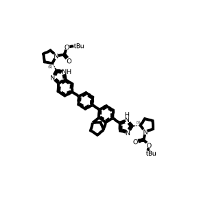 CC(C)(C)OC(=O)N1CCC[C@H]1c1ncc(-c2ccc(-c3ccc(-c4ccc5nc([C@@H]6CCCN6C(=O)OC(C)(C)C)[nH]c5c4)cc3)c3c2C2CCC3C2)[nH]1